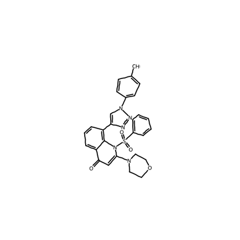 [CH]c1ccc(-n2cc(-c3cccc4c(=O)cc(N5CCOCC5)n(S(=O)(=O)c5ccccc5)c34)nn2)cc1